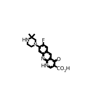 CC1(C)CN(c2cc3nc4[nH]cc(C(=O)O)c(=O)c4cc3cc2F)CCN1